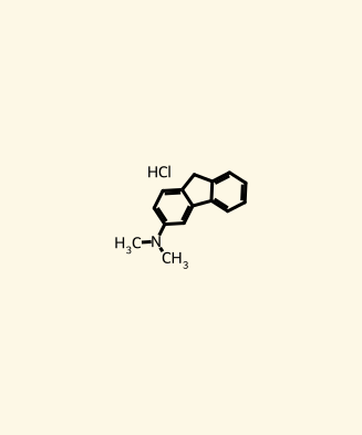 CN(C)c1ccc2c(c1)-c1ccccc1C2.Cl